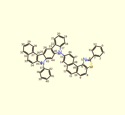 c1ccc(-c2nc3c(ccc4ccc5cc(-n6c7ccccc7c7cc8c9c%10ccccc%10ccc9n(-c9ccccc9)c8cc76)ccc5c43)s2)cc1